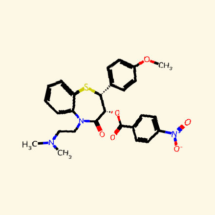 COc1ccc([C@H]2Sc3ccccc3N(CCN(C)C)C(=O)[C@H]2OC(=O)c2ccc([N+](=O)[O-])cc2)cc1